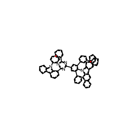 c1ccc(-c2cccc(-c3cc(-c4nc(-c5ccccc5)nc(-c5cccc6c7ccccc7n(-c7ccccc7)c56)n4)cc(-c4ccccc4)c3-n3c4cc5ccccc5cc4c4cc5ccccc5cc43)c2)cc1